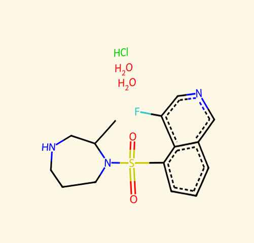 CC1CNCCCN1S(=O)(=O)c1cccc2cncc(F)c12.Cl.O.O